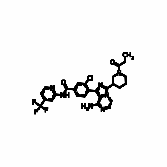 CCC(=O)N1CCCC(c2nc(-c3ccc(C(=O)Nc4cc(C(F)(F)F)ccn4)cc3Cl)c3c(N)nccn23)C1